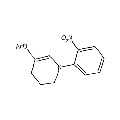 CC(=O)OC1=CN(c2ccccc2[N+](=O)[O-])CCC1